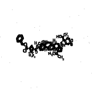 C=C(C)[C@@H]1CC[C@]2(NC[C@H]([C@@H](C)O)N3CCS(=O)(=O)CC3)CC[C@]3(C)[C@H](CC[C@@H]4[C@@]5(C)CC[C@H](OC(=O)[C@H]6C[C@@H](C(=O)OCc7ccccc7)C6(C)C)C(C)(C)[C@@H]5CC[C@]43C)[C@@H]12